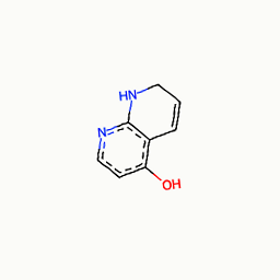 Oc1ccnc2c1C=CCN2